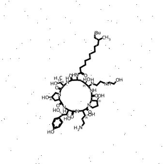 CCC(C)CC(C)CCCCCCCCC(=O)NC1C[C@@H](O)C(NCCNCCO)NC(=O)C2[C@@H](O)CCN2C(=O)C([C@H](O)CCN)NC(=O)C([C@H](O)[C@@H](O)c2ccc(O)cc2)NC(=O)C2C[C@@H](O)CN2C(=O)C([C@@H](C)O)NC1=O